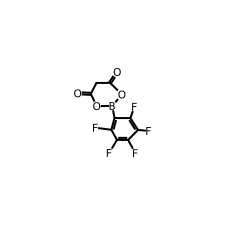 O=C1CC(=O)OB(c2c(F)c(F)c(F)c(F)c2F)O1